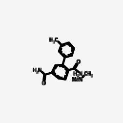 CNC.Cc1cccc(-c2cc(C(N)=O)ccc2C(N)=O)c1